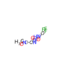 CC(=O)N1CCC(c2ccc3ncn(CC(=O)NCc4ccc(C(F)(F)F)cc4)c(=O)c3c2)CC1